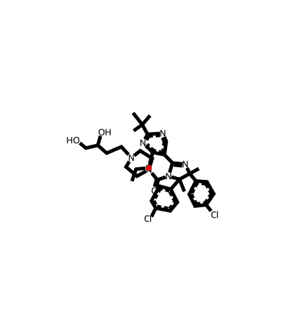 CCOc1nc(C(C)(C)C)ncc1C1=NC(C)(c2ccc(Cl)cc2)C(C)(c2ccc(Cl)cc2)N1C(=O)N1CCN(CCC(O)CO)CC1